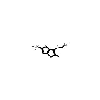 Bc1cc2c(s1)C(SCBr)=C(C)C2